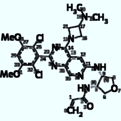 C=CC(=O)N[C@H]1COC[C@H]1Nc1cc2c(N3CC(N(C)C)C3)nc(-c3c(Cl)c(OC)cc(OC)c3Cl)nc2cn1